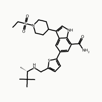 CCS(=O)(=O)N1CCC(c2c[nH]c3c(C(N)=O)cc(-c4ccc(CN[C@@H](C)C(C)(C)C)s4)cc23)CC1